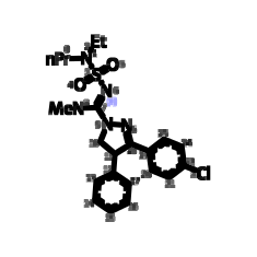 CCCN(CC)S(=O)(=O)/N=C(\NC)N1CC(c2ccccc2)C(c2ccc(Cl)cc2)=N1